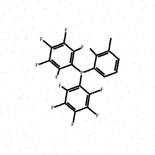 Cc1cccc(P(c2c(F)c(F)c(F)c(F)c2F)c2c(F)c(F)c(F)c(F)c2F)c1C